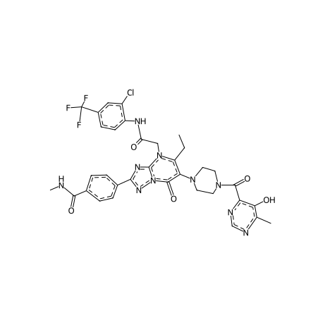 CCc1c(N2CCN(C(=O)c3ncnc(C)c3O)CC2)c(=O)n2nc(-c3ccc(C(=O)NC)cc3)nc2n1CC(=O)Nc1ccc(C(F)(F)F)cc1Cl